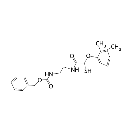 Cc1cccc(OC(S)C(=O)NCCNC(=O)OCc2ccccc2)c1C